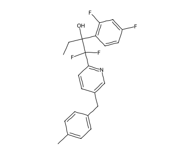 CCC(O)(c1ccc(F)cc1F)C(F)(F)c1ccc(Cc2ccc(C)cc2)cn1